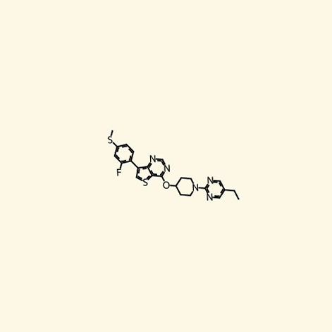 CCc1cnc(N2CCC(Oc3ncnc4c(-c5ccc(SC)cc5F)csc34)CC2)nc1